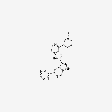 Fc1cccc(-c2nccc3[nH]c(-c4n[nH]c5cnc(-c6cnccn6)cc45)cc23)c1